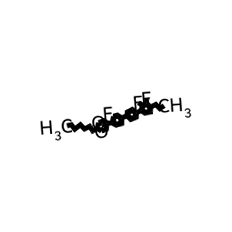 CCCCCCCC1OCC(c2ccc(-c3ccc(-c4ccc(CCC)c(F)c4F)cc3)cc2F)CO1